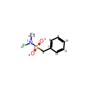 CCN(F)S(=O)(=O)Cc1ccccc1